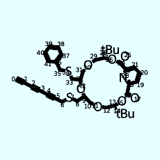 C#CC#CC#CCSCC1COC[C@H](C(C)(C)C)OC(=O)c2cccc(n2)C(=O)O[C@@H](C(C)(C)C)COCC(CSCc2ccccc2)O1